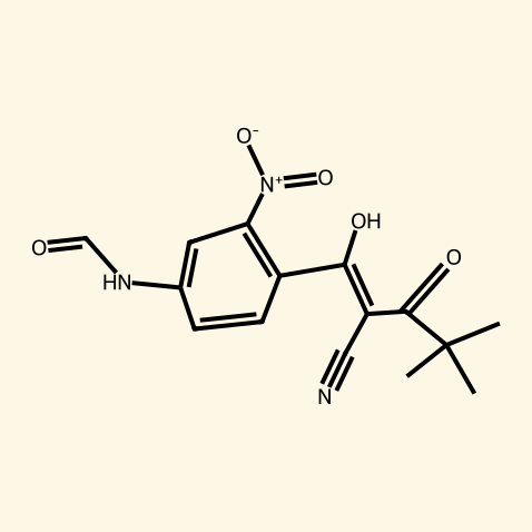 CC(C)(C)C(=O)/C(C#N)=C(\O)c1ccc(NC=O)cc1[N+](=O)[O-]